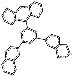 c1ccc2c(-c3nc(-c4ccc5cnccc5c4)nc(-c4ccc5cnccc5c4)n3)c3ccccc3cc2c1